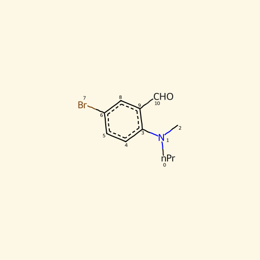 CCCN(C)c1ccc(Br)cc1C=O